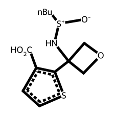 CCCC[S+]([O-])NC1(c2sccc2C(=O)O)COC1